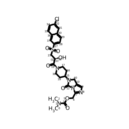 CN(C)C(=O)OCc1ncc2n1C(=O)N(C1CCN(C(=O)[C@H](O)CS(=O)(=O)c3ccc4cc(Cl)ccc4c3)CC1)C2